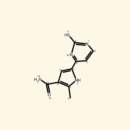 Cc1[nH]c(-c2ccnc(S)n2)cc1C(N)=O